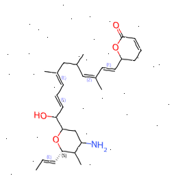 C/C=C/[C@@H]1OC(C(O)/C=C/C=C(\C)CC(C)/C=C(C)\C=C\C2CC=CC(=O)O2)CC(N)C1C